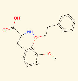 COc1cccc(CC(N)C(=O)O)c1OCCc1ccccc1